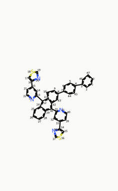 c1ccc(-c2ccc(-c3ccc4c(-c5cc(-c6cscn6)ccn5)c5ccccc5c(-c5cc(-c6cscn6)ccn5)c4c3)cc2)cc1